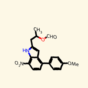 COc1ccc(-c2ccc([N+](=O)[O-])c3[nH]c(CC(C)OC=O)cc23)cc1